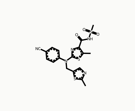 Cc1ncc(CN(c2ccc(C#N)cc2)c2nc(C(=O)NS(C)(=O)=O)c(C)s2)s1